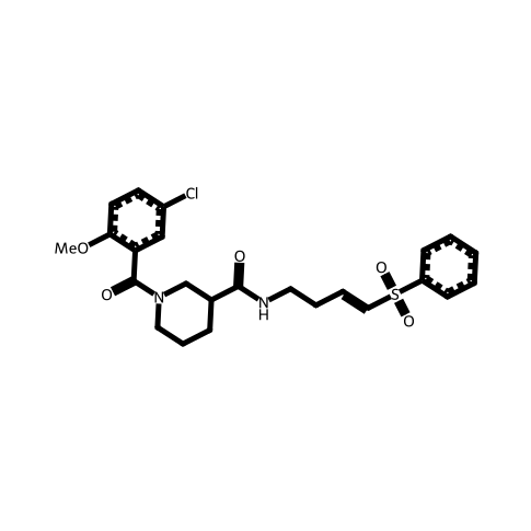 COc1ccc(Cl)cc1C(=O)N1CCCC(C(=O)NCC/C=C/S(=O)(=O)c2ccccc2)C1